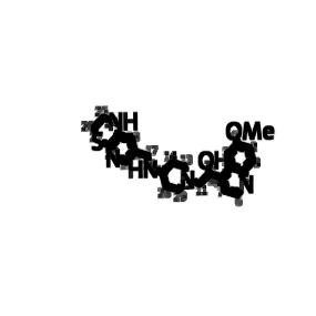 COc1ccc2nccc(C(O)CN3CCC(NCc4cnc5c(c4)NCCS5)CC3)c2c1